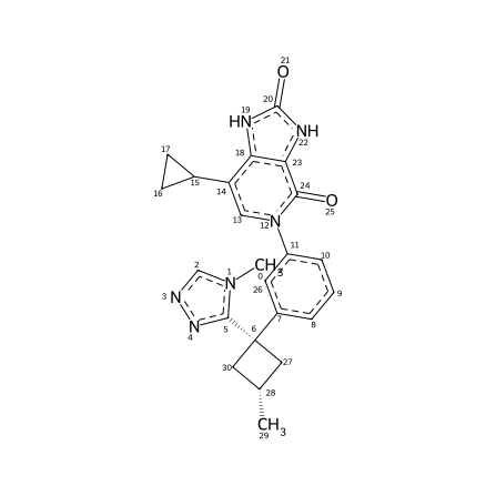 Cn1cnnc1[C@]1(c2cccc(-n3cc(C4CC4)c4[nH]c(=O)[nH]c4c3=O)c2)C[C@H](C)C1